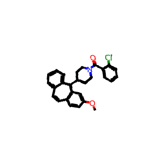 COc1ccc2c(c1)C(C1CCN(C(=O)c3ccccc3Cl)CC1)c1ccccc1C=C2